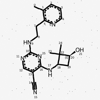 Cc1cccnc1CCNc1ncc(C#N)c(NC2C[C@H](O)C2(C)C)n1